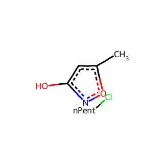 CCCCCCl.Cc1cc(O)no1